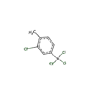 Cc1ccc([Si](Cl)(Cl)Cl)cc1Cl